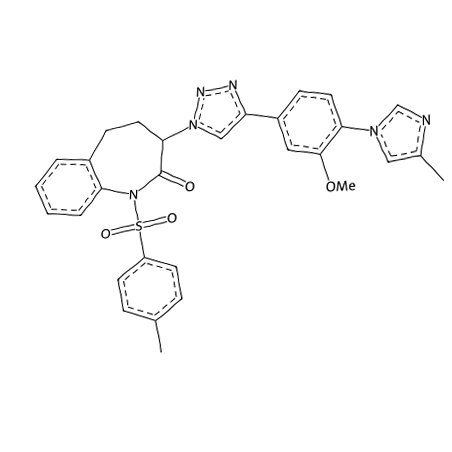 COc1cc(-c2cn(C3CCc4ccccc4N(S(=O)(=O)c4ccc(C)cc4)C3=O)nn2)ccc1-n1cnc(C)c1